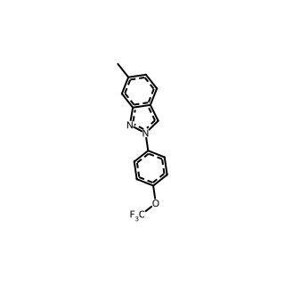 Cc1ccc2cn(-c3ccc(OC(F)(F)F)cc3)nc2c1